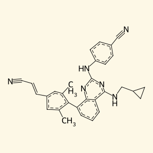 Cc1cc(C=CC#N)cc(C)c1-c1cccc2c(NCC3CC3)nc(Nc3ccc(C#N)cc3)nc12